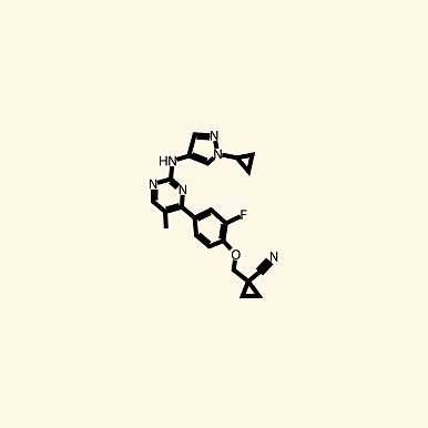 Cc1cnc(Nc2cnn(C3CC3)c2)nc1-c1ccc(OCC2(C#N)CC2)c(F)c1